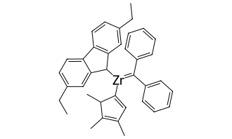 CCc1ccc2c(c1)[CH]([Zr]([C]1=CC(C)=C(C)C1C)=[C](c1ccccc1)c1ccccc1)c1cc(CC)ccc1-2